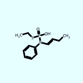 CCC=CN(c1ccccc1)P(=O)(O)SCC